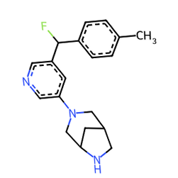 Cc1ccc(C(F)c2cncc(N3CC4CNC(C4)C3)c2)cc1